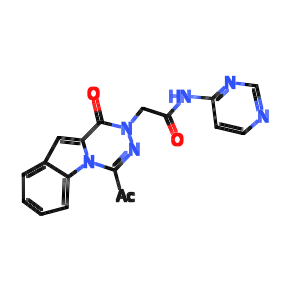 CC(=O)c1nn(CC(=O)Nc2ccncn2)c(=O)c2cc3ccccc3n12